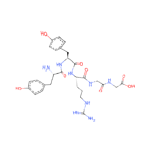 N=C(N)NCCC[C@H](NC(=O)[C@H](Cc1ccc(O)cc1)NC(=O)[C@@H](N)Cc1ccc(O)cc1)C(=O)NCC(=O)NCC(=O)O